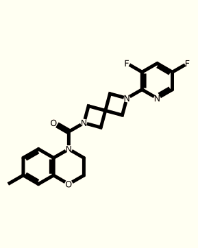 Cc1ccc2c(c1)OCCN2C(=O)N1CC2(C1)CN(c1ncc(F)cc1F)C2